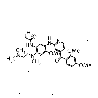 C=CC(=O)Nc1cc(Nc2cc(C(=O)c3ccc(OC)cc3OC)ccn2)c(OC)cc1N(C)CCN(C)C